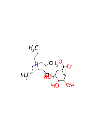 CCC[N+](CCC)(CCC)CCC.O=C([O-])C1=CC(O)C(O)C(O)C1